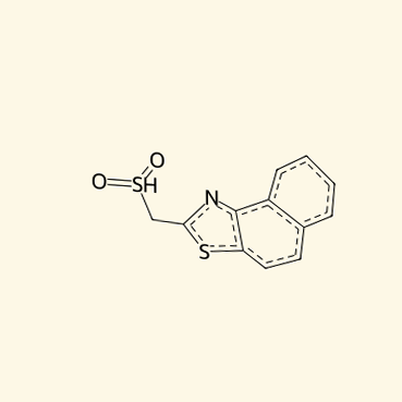 O=[SH](=O)Cc1nc2c(ccc3ccccc32)s1